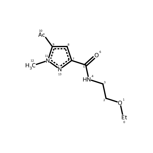 CCOCCNC(=O)c1cc(C(C)=O)n(C)n1